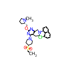 C=CS(=O)(=O)C1CCN(c2nc(OC[C@@H]3CCCN3C)nc3c2CCN(c2cccc4cccc(Cl)c24)C3)CC1